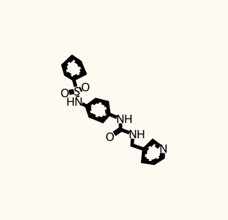 O=C(NCc1cccnc1)Nc1ccc(NS(=O)(=O)c2ccccc2)cc1